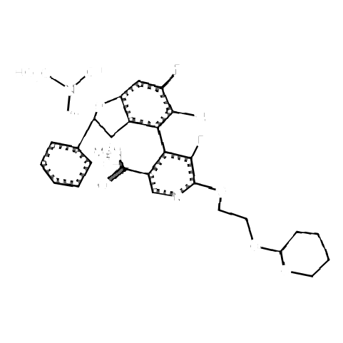 CNC(=O)c1cnc(OCCOC2CCCCO2)c(F)c1-c1c(Cl)c(F)cc2c1[C@H](C)[C@@](CN(C)C(=O)O)(c1ccccc1)O2